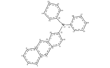 [c]1c2ccccc2cc2ccc(N(c3ccccc3)c3ccccc3)cc12